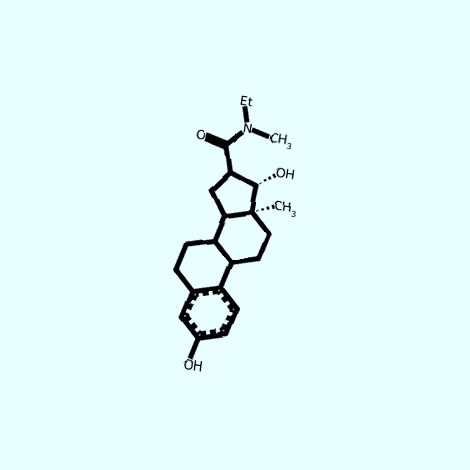 CCN(C)C(=O)C1CC2C3CCc4cc(O)ccc4C3CC[C@]2(C)[C@H]1O